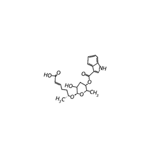 CC1O[C@@H](O[C@H](C)CC/C=C/C(=O)O)C(O)C[C@H]1OC(=O)c1c[nH]c2ccccc12